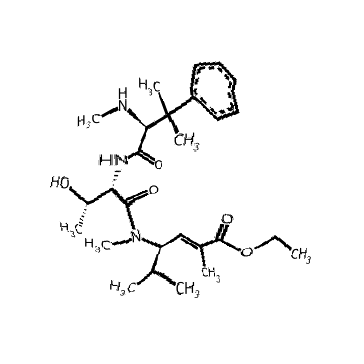 CCOC(=O)/C(C)=C/[C@@H](C(C)C)N(C)C(=O)[C@@H](NC(=O)[C@@H](NC)C(C)(C)c1ccccc1)[C@H](C)O